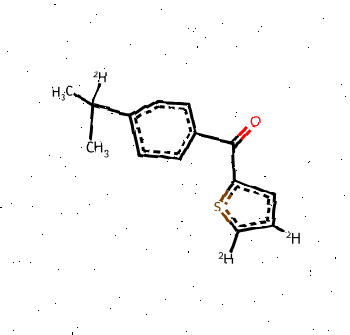 [2H]c1cc(C(=O)c2ccc(C([2H])(C)C)cc2)sc1[2H]